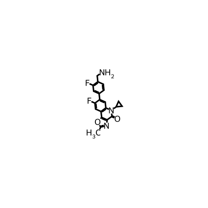 Cc1nc2c(=O)n(C3CC3)c3cc(-c4ccc(CN)c(F)c4)c(F)cc3c2o1